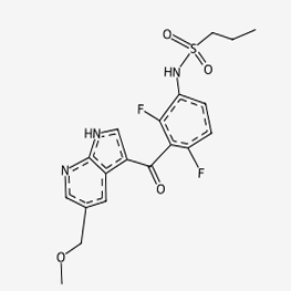 CCCS(=O)(=O)Nc1ccc(F)c(C(=O)c2c[nH]c3ncc(COC)cc23)c1F